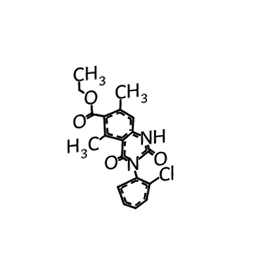 CCOC(=O)c1c(C)cc2[nH]c(=O)n(-c3ccccc3Cl)c(=O)c2c1C